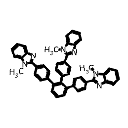 Cn1c(-c2ccc(-c3cccc(-c4ccc(-c5nc6ccccc6n5C)cc4)c3-c3ccc(-c4nc5ccccc5n4C)cc3)cc2)nc2ccccc21